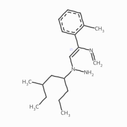 C=N/C(=C\N(N)C(CCC)CC(C)CC)c1ccccc1C